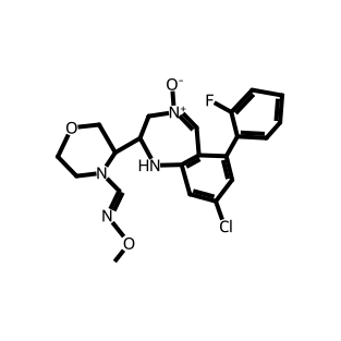 CON=CN1CCOCC1C1C[N+]([O-])=Cc2c(cc(Cl)cc2-c2ccccc2F)N1